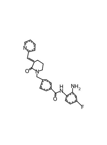 Nc1cc(F)ccc1NC(=O)c1ccc(CN2CCC/C(=C\c3ccccn3)C2=O)cc1